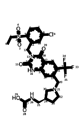 CCS(=O)(=O)c1ccc(Cl)cc1Cn1c(=O)[nH]c2cc(CN3CC[C@@H](CNC(=O)O)C3)c(C(F)(F)F)cc2c1=O